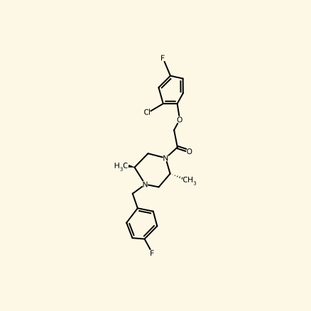 C[C@@H]1CN(Cc2ccc(F)cc2)[C@@H](C)CN1C(=O)COc1ccc(F)cc1Cl